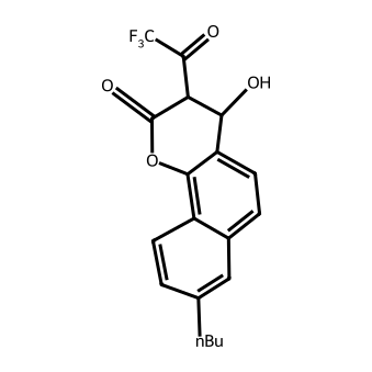 CCCCc1ccc2c3c(ccc2c1)C(O)C(C(=O)C(F)(F)F)C(=O)O3